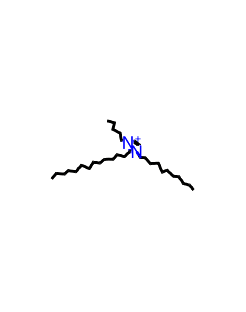 CCCCCCCCCCCCCc1n(CCCCCCCCCCC)cc[n+]1CCCCC